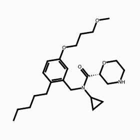 CCCCCc1ccc(OCCCOC)cc1CN(C(=O)[C@H]1CNCCO1)C1CC1